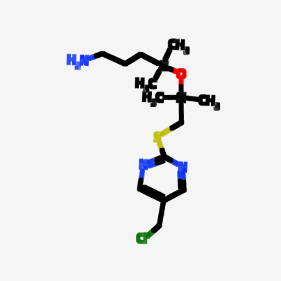 C[Si](C)(CCCN)O[Si](C)(C)CSc1ncc(CCl)cn1